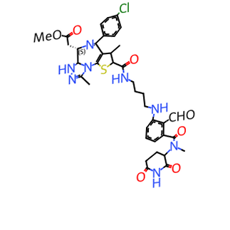 COC(=O)C[C@@H]1N=C(c2ccc(Cl)cc2)C2=C(SC(C(=O)NCCCCNc3cccc(C(=O)N(C)C4CCC(=O)NC4=O)c3C=O)C2C)N2C(C)=NNC12